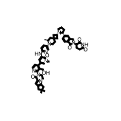 C[C@H]1CC2(CCN1c1ccc(Nc3cc(-c4ccnc(N5CCn6c(cc7c6CC(C)(C)C7)C5=O)c4CO)cn(C)c3=O)nc1)CC(N1CCC[C@@H]1c1ccc3c(c1)CN(C1CCC(=O)NC1=O)C3=O)C2